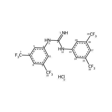 Cl.N=C(Nc1cc(C(F)(F)F)cc(C(F)(F)F)c1)Nc1cc(C(F)(F)F)cc(C(F)(F)F)c1